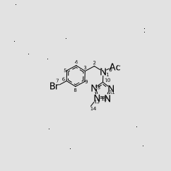 CC(=O)N(Cc1ccc(Br)cc1)c1nnn(C)n1